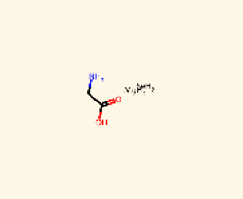 NCC(=O)O.[MgH2].[SeH2]